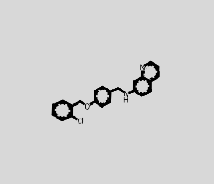 Clc1ccccc1COc1ccc(CNc2ccc3cccnc3c2)cc1